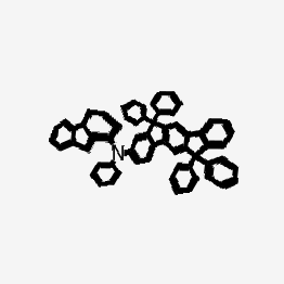 c1ccc(N(c2ccc3c(c2)C(c2ccccc2)(c2ccccc2)c2cc4c(cc2-3)C(c2ccccc2)(c2ccccc2)c2ccccc2-4)c2cccc3c2Cc2ccccc2-3)cc1